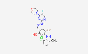 CC1C=CC=C(Cl)C1Nc1c(Br)cc(/C=N\Nc2ncc(F)c(N3CCOCC3)n2)c(O)c1Cl